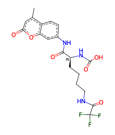 Cc1cc(=O)oc2cc(NC(=O)[C@H](CCCCNC(=O)C(F)(F)F)NC(=O)O)ccc12